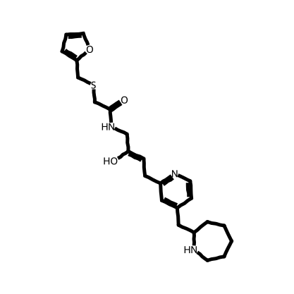 O=C(CSCc1ccco1)NCC(O)=CCc1cc(CC2CCCCCN2)ccn1